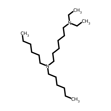 CCCCCCN(CCCCCC)CCCCCCN(CC)CC